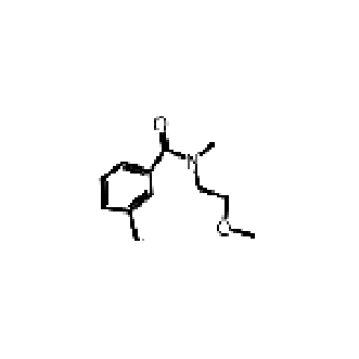 [CH2]c1cccc(C(=O)N(C)CCOC)c1